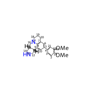 COc1ccc(-c2cc3c4c(c2)[C@H]2CNC[C@H]2CN4CCC3)cc1OC